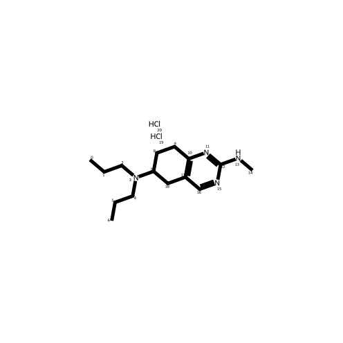 CCCN(CCC)C1CCc2nc(NC)ncc2C1.Cl.Cl